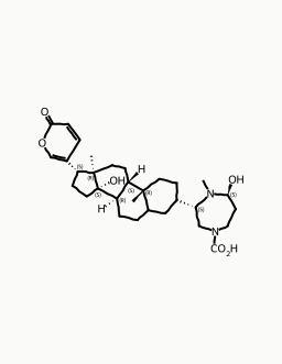 CN1[C@@H](C2CC[C@]3(C)C(CC[C@@H]4[C@@H]3CC[C@]3(C)[C@@H](c5ccc(=O)oc5)CC[C@]43O)C2)CN(C(=O)O)CC[C@@H]1O